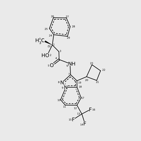 C[C@](O)(CC(=O)Nc1nn2ccc(C(F)(F)F)cc2c1C1CCC1)c1ccccc1